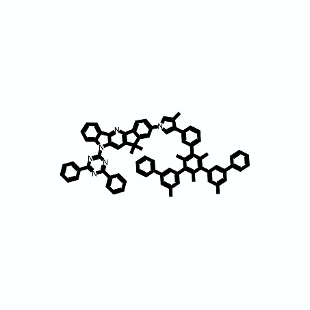 Cc1cc(-c2ccccc2)cc(-c2c(C)c(-c3cc(C)cc(-c4ccccc4)c3)c(C)c(-c3cccc(-c4cn(-c5ccc6c(c5)C(C)(C)c5cc7c(nc5-6)c5ccccc5n7-c5nc(-c6ccccc6)nc(-c6ccccc6)n5)cc4C)c3)c2C)c1